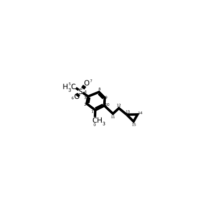 Cc1cc(S(C)(=O)=O)ccc1CCC1CC1